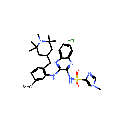 COc1ccc(CC2CC(C)(C)N(C)C(C)(C)C2)c(Nc2nc3ccccc3nc2NS(=O)(=O)c2cn(C)cn2)c1.Cl